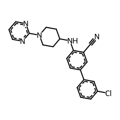 N#Cc1cc(-c2cccc(Cl)c2)ccc1NC1CCN(c2ncccn2)CC1